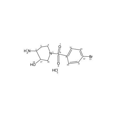 Cl.NC1CCN(S(=O)(=O)c2ccc(Br)cc2)CC1O